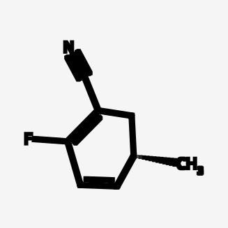 C[C@@H]1C=CC(F)=C(C#N)C1